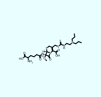 CCCN(CCC)CCNC(=S)SCC1=C(C(=O)O)N2C(=O)[C@](NC(=O)CCCC(N)C(=O)O)(OC)[C@@H]2SC1